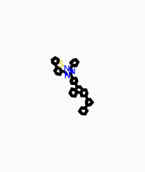 c1ccc(-c2cccc(-c3ccc4cc(-c5ccc(-c6nc(-c7ccccc7)nc(-c7cccc8c7sc7ccccc78)n6)cc5)c5ccccc5c4c3)c2)cc1